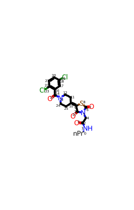 CCCNC(=O)CN1C(=O)SC(=C2CCN(C(=O)c3cc(Cl)ccc3Cl)CC2)C1=O